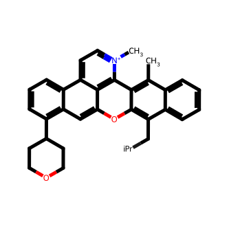 Cc1c2c(c(CC(C)C)c3ccccc13)Oc1cc3c(C4CCOCC4)cccc3c3cc[n+](C)c-2c13